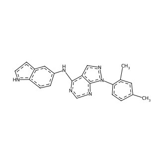 Cc1ccc(-n2ncc3c(Nc4ccc5[nH]ccc5c4)ncnc32)c(C)c1